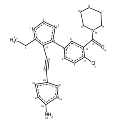 CCc1ncnc(-c2ccc(Cl)c(C(=O)N3CCCCC3)c2)c1C#Cc1ccc(N)nc1